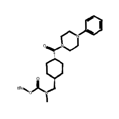 CN(C[C@H]1CC[C@H](C(=O)N2CCN(c3ccccc3)CC2)CC1)C(=O)OC(C)(C)C